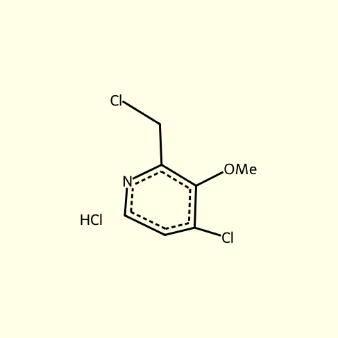 COc1c(Cl)ccnc1CCl.Cl